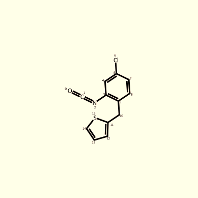 O=C=Nc1cc(Cl)ccc1Cc1cccs1